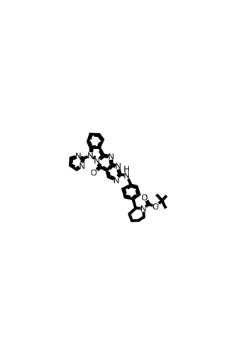 CC(C)(C)OC(=O)N1CCCCC1c1ccc(Nc2ncc3c(=O)n4c(nc3n2)c2ccccc2n4-c2ncccn2)cc1